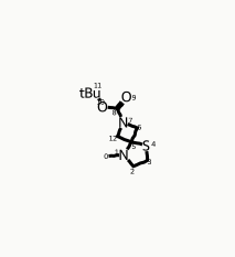 CN1CCSC12CN(C(=O)OC(C)(C)C)C2